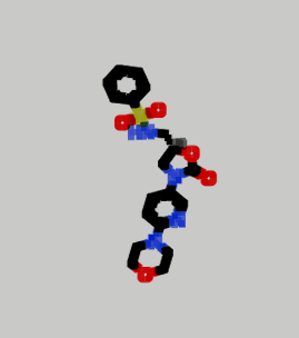 O=C1O[C@@H](CNS(=O)(=O)c2ccccc2)CN1c1ccc(N2CCOCC2)nc1